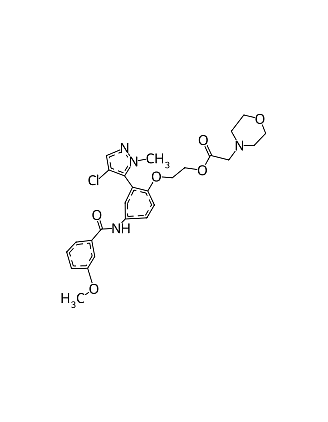 COc1cccc(C(=O)Nc2ccc(OCCOC(=O)CN3CCOCC3)c(-c3c(Cl)cnn3C)c2)c1